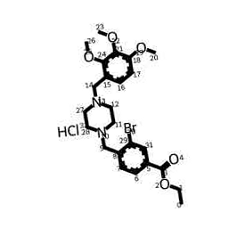 CCOC(=O)c1ccc(CN2CCN(Cc3ccc(OC)c(OC)c3OC)CC2)c(Br)c1.Cl